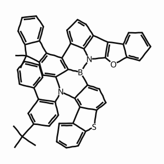 CC(C)(C)c1ccc(N2c3cc4c(c5c3B(c3ccc6sc7ccccc7c6c32)n2c3oc6ccccc6c3c3cccc-5c32)-c2ccccc2C4(C)C)c(-c2ccccc2)c1